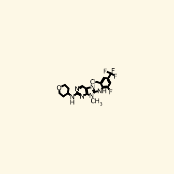 Cn1c(Nc2c(F)cc(C(F)(F)F)cc2Cl)nc2cnc(NC3CCOCC3)nc21